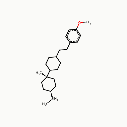 C[SiH2][C@H]1CC[C@](C)(C2CCC(CCc3ccc(OC(F)(F)F)cc3)CC2)CC1